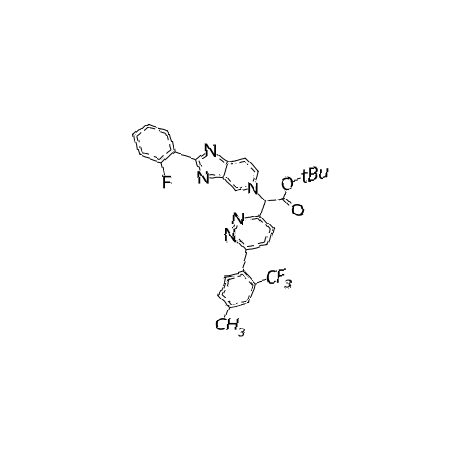 Cc1ccc(-c2ccc(C(C(=O)OC(C)(C)C)n3ccc4nc(-c5ccccc5F)nc-4c3)nn2)c(C(F)(F)F)c1